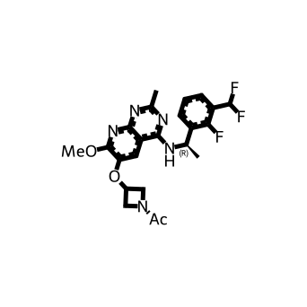 COc1nc2nc(C)nc(N[C@H](C)c3cccc(C(F)F)c3F)c2cc1OC1CN(C(C)=O)C1